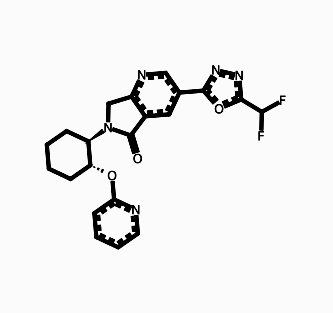 O=C1c2cc(-c3nnc(C(F)F)o3)cnc2CN1[C@@H]1CCCC[C@H]1Oc1ccccn1